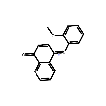 COc1ccccc1/N=C1\C=CC(=O)c2ncccc21